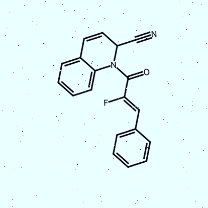 N#CC1C=Cc2ccccc2N1C(=O)C(F)=Cc1ccccc1